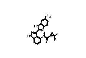 Cc1ccc2nc(-c3n[nH]c4cccc(NC(=O)C5CC5(F)F)c34)[nH]c2c1